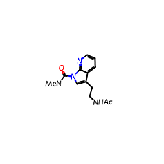 CNC(=O)n1cc(CCNC(C)=O)c2cccnc21